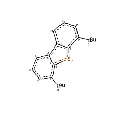 CC(C)(C)c1cccc2c1sc1c(C(C)(C)C)cccc12